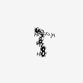 O=C(NC(CCN1CC(CCc2ccc3c(n2)NCCC3)C(F)(F)C1)C(=O)O)c1ccccc1